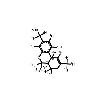 [2H]C1=C(C([2H])([2H])[2H])CC([2H])([2H])[C@@]2([2H])C(C)(C)Oc3c([2H])c(C([2H])([2H])CCCC)c([2H])c(O)c3[C@]12[2H]